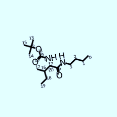 CCCCNC(=O)[C@@H](NC(=O)OC(C)(C)C)C(C)CC